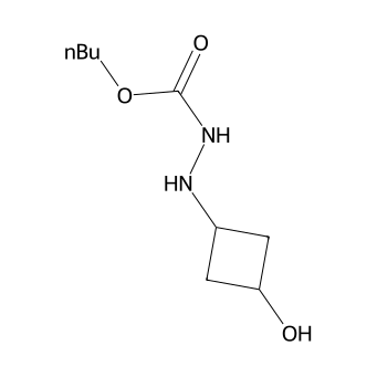 CCCCOC(=O)NNC1CC(O)C1